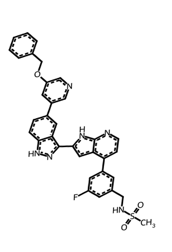 CS(=O)(=O)NCc1cc(F)cc(-c2ccnc3[nH]c(-c4n[nH]c5ccc(-c6cncc(OCc7ccccc7)c6)cc45)cc23)c1